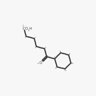 O=C(O)CCCCC(=O)C1CCCCC1